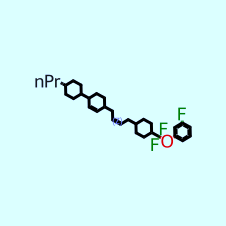 CCCC1CCC(C2C=CC(C/C=C\CC3CCC(C(F)(F)Oc4cccc(F)c4)CC3)CC2)CC1